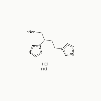 CCCCCCCCCCC(CCn1ccnc1)n1ccnc1.Cl.Cl